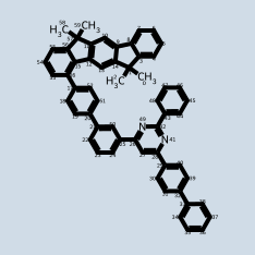 CC1(C)c2ccccc2-c2cc3c(cc21)-c1c(-c2ccc(-c4cccc(-c5cc(-c6ccc(-c7ccccc7)cc6)nc(-c6ccccc6)n5)c4)cc2)cccc1C3(C)C